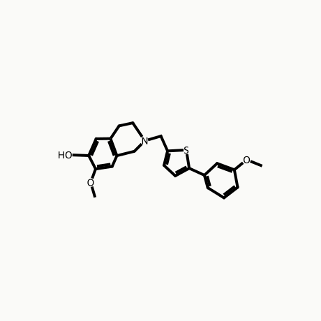 COc1cccc(-c2ccc(CN3CCc4cc(O)c(OC)cc4C3)s2)c1